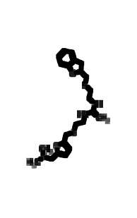 C=C(NCCSCc1ccc(CN(C)C)o1)NCCSCC1Cc2ccccc2O1